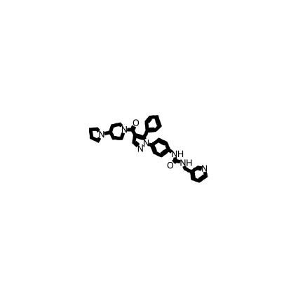 O=C(NCc1cccnc1)Nc1ccc(-n2ncc(C(=O)N3CCC(N4CCCC4)CC3)c2-c2ccccc2)cc1